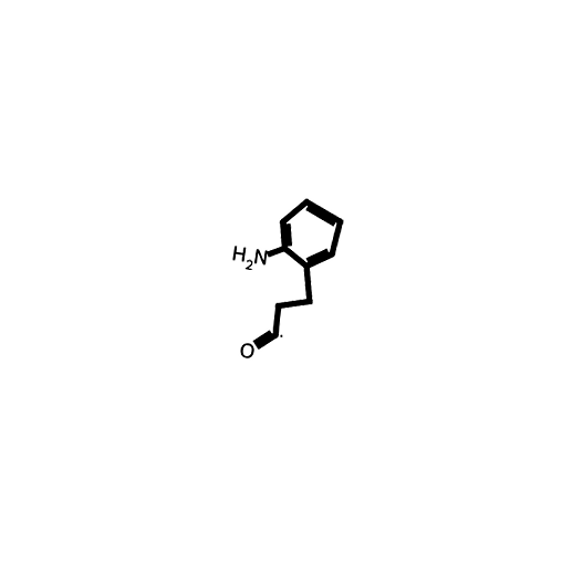 Nc1ccccc1CC[C]=O